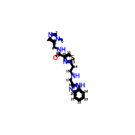 Cn1cncc1CNC(=O)c1csc(CCNCc2nc3ccccc3[nH]2)n1